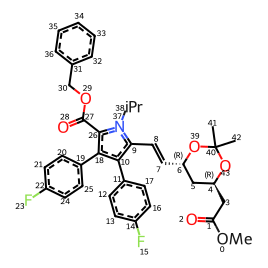 COC(=O)C[C@H]1C[C@H](C=Cc2c(-c3ccc(F)cc3)c(-c3ccc(F)cc3)c(C(=O)OCc3ccccc3)n2C(C)C)OC(C)(C)O1